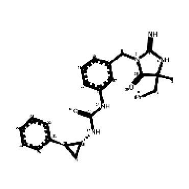 CC(C)CC1(C)NC(=N)N(Cc2cccc(NC(=O)N[C@@H]3C[C@H]3c3ccccc3)c2)C1=O